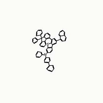 c1ccc(-c2ccc(N(c3ccccc3)c3ccc4c(c3)sc3c(-c5cccc6c5-c5ccccc5C6(c5ccccc5)c5ccccc5)cc(-c5cccc6ccccc56)cc34)cc2)cc1